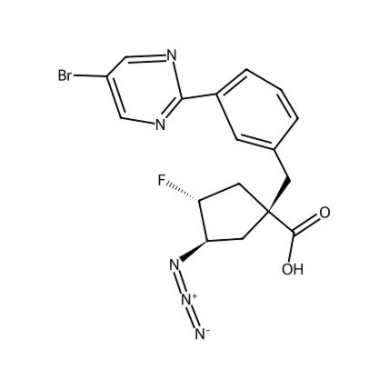 [N-]=[N+]=N[C@@H]1C[C@@](Cc2cccc(-c3ncc(Br)cn3)c2)(C(=O)O)C[C@H]1F